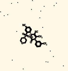 [C-]#[N+]C1=C(C)N(c2cccc(C(F)(F)F)c2)C(=O)N[C@@H]1c1ccc(C#N)cc1S(=O)(=O)N1CCOCC1